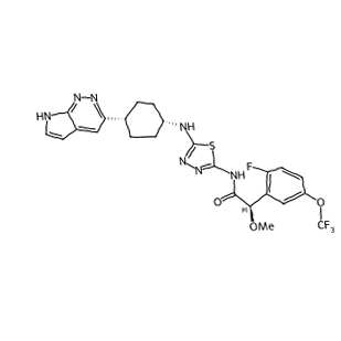 CO[C@@H](C(=O)Nc1nnc(N[C@H]2CC[C@@H](c3cc4cc[nH]c4nn3)CC2)s1)c1cc(OC(F)(F)F)ccc1F